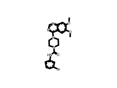 COc1cc2ncnc(N3CCN(C(=O)Nc4cccc(Br)c4)CC3)c2cc1OC